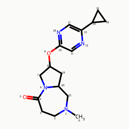 CN1CCC(=O)N2CC(Oc3cnc(C4CC4)cn3)CC2C1